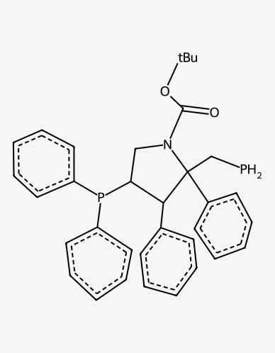 CC(C)(C)OC(=O)N1CC(P(c2ccccc2)c2ccccc2)C(c2ccccc2)C1(CP)c1ccccc1